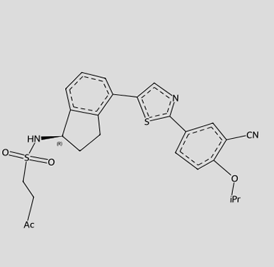 CC(=O)CCS(=O)(=O)N[C@@H]1CCc2c(-c3cnc(-c4ccc(OC(C)C)c(C#N)c4)s3)cccc21